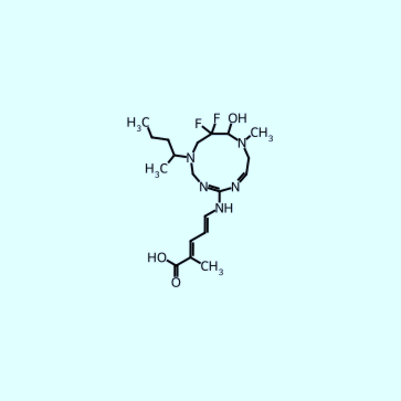 CCCC(C)N1C/N=C(N/C=C/C=C(\C)C(=O)O)\N=C/CN(C)C(O)C(F)(F)C1